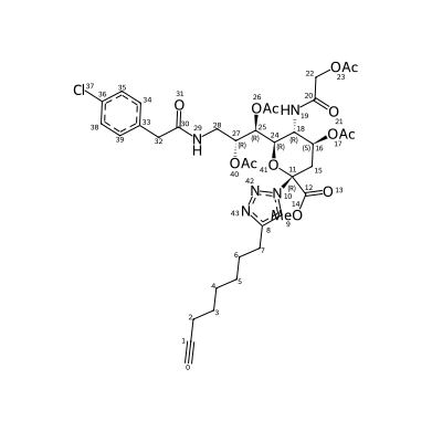 C#CCCCCCCc1cn([C@]2(C(=O)OC)C[C@H](OC(C)=O)[C@@H](NC(=O)COC(C)=O)[C@H]([C@H](OC(C)=O)[C@@H](CNC(=O)Cc3ccc(Cl)cc3)OC(C)=O)O2)nn1